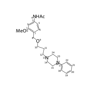 COc1cc(NC(C)=O)ccc1COCCCN1CCN(c2ccccc2)CC1